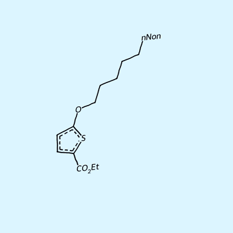 CCCCCCCCCCCCCCOc1ccc(C(=O)OCC)s1